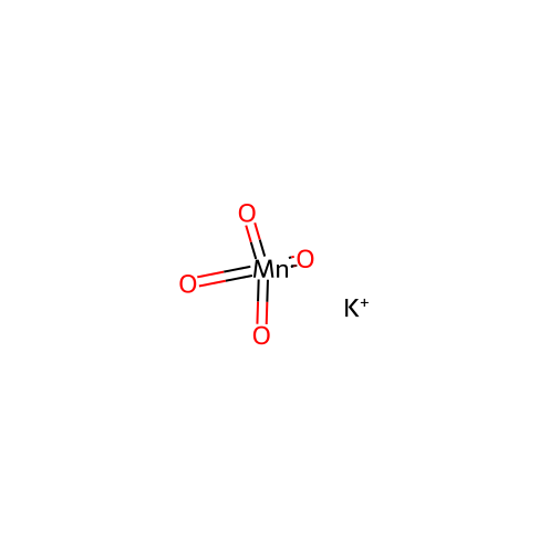 [K+].[O]=[Mn-](=[O])(=[O])=[O]